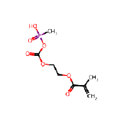 C=C(C)C(=O)OCCOC(=O)OP(C)(=O)O